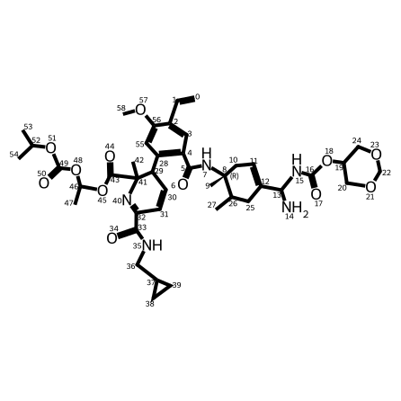 C=Cc1cc(C(=O)N[C@]2(C)CC=C(C(N)NC(=O)OC3COCOC3)CC2C)c(C2C=CC(C(=O)NCC3CC3)=NC2(C)C(=O)OC(C)OC(=O)OC(C)C)cc1OC